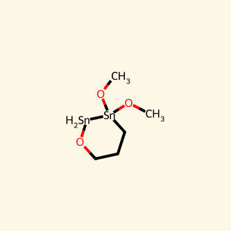 C[O][Sn]1([O]C)[CH2]CC[O][SnH2]1